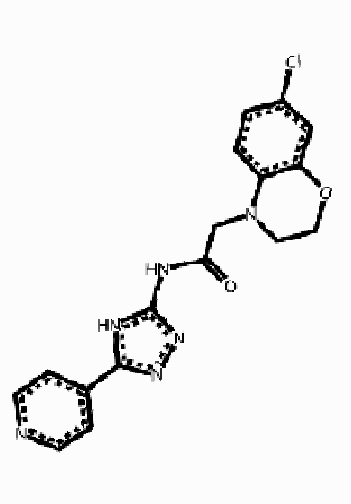 O=C(CN1CCOc2cc(Cl)ccc21)Nc1nnc(-c2ccncc2)[nH]1